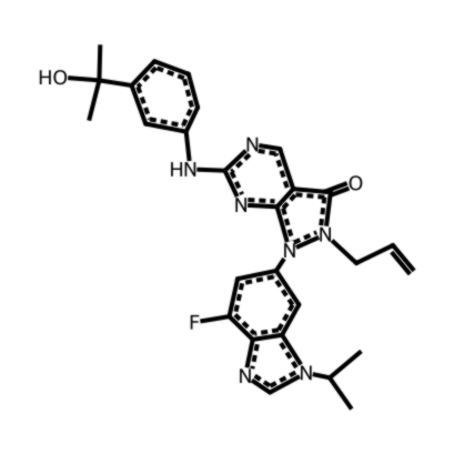 C=CCn1c(=O)c2cnc(Nc3cccc(C(C)(C)O)c3)nc2n1-c1cc(F)c2ncn(C(C)C)c2c1